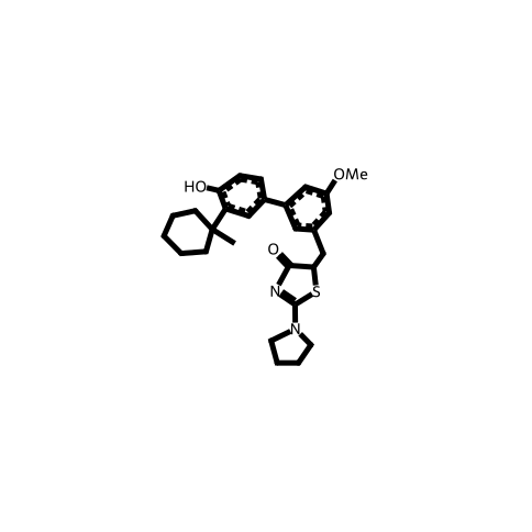 COc1cc(CC2SC(N3CCCC3)=NC2=O)cc(-c2ccc(O)c(C3(C)CCCCC3)c2)c1